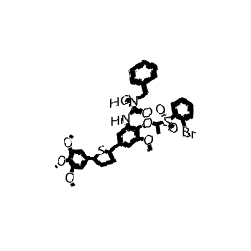 COc1cc(C2CCC(c3cc(OC)c(OC)c(OC)c3)S2)cc(NC(=O)N(O)Cc2ccccc2)c1OC(C)S(=O)(=O)c1ccccc1Br